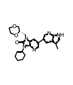 Cc1c[nH]c2ncc(-c3cnc4c(c3)n(C[C@H]3COCCO3)c(=O)n4C3=CCCCC3)cc12